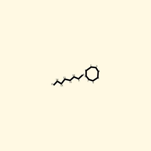 C1CCCCCCC1.CCCCCCCC